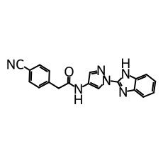 N#Cc1ccc(CC(=O)Nc2cnn(-c3nc4ccccc4[nH]3)c2)cc1